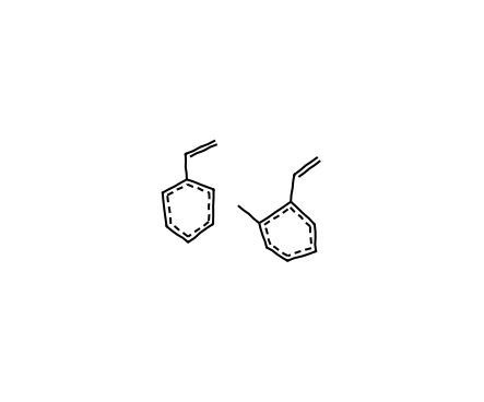 C=Cc1ccccc1.C=Cc1ccccc1C